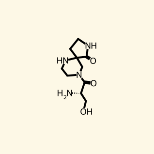 N[C@@H](CO)C(=O)N1CCNC2(CCNC2=O)C1